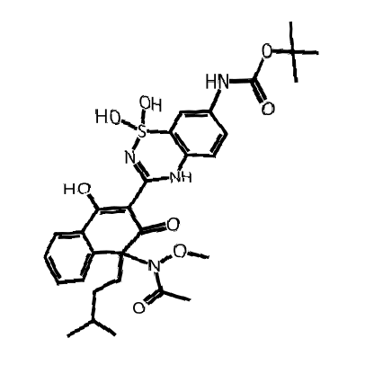 CON(C(C)=O)C1(CCC(C)C)C(=O)C(C2=NS(O)(O)c3cc(NC(=O)OC(C)(C)C)ccc3N2)=C(O)c2ccccc21